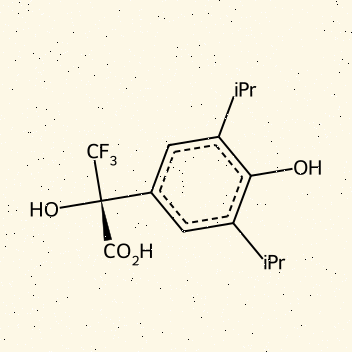 CC(C)c1cc([C@@](O)(C(=O)O)C(F)(F)F)cc(C(C)C)c1O